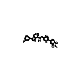 Cn1cc(-c2cnc(CNc3nccn4c(-c5cncc(F)c5)cnc34)cn2)ccc1=O